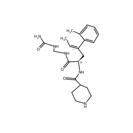 C/C=C(/C[C@@H](NC(=O)C1CCNCC1)C(=O)NCNC(N)=O)c1ccccc1C